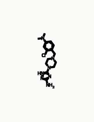 CN(C)c1ccc(CN2CCN(c3nc(N)n[nH]3)CC2)c(Cl)c1